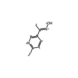 C/C(=N\O)c1ccc(F)nc1